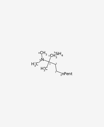 CCCCCCCC(C)(C)N(C)C.[SiH4]